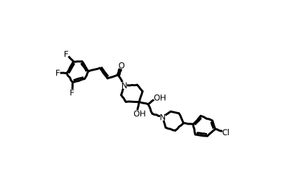 O=C(/C=C/c1cc(F)c(F)c(F)c1)N1CCC(O)(C(O)CN2CCC(c3ccc(Cl)cc3)CC2)CC1